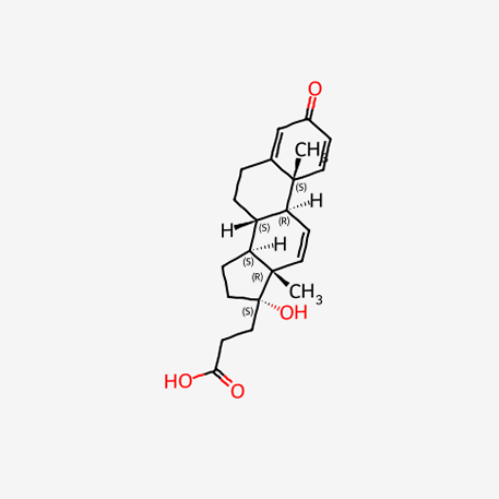 C[C@]12C=CC(=O)C=C1CC[C@@H]1[C@@H]2C=C[C@@]2(C)[C@H]1CC[C@]2(O)CCC(=O)O